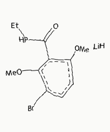 CCPC(=O)c1c(OC)ccc(Br)c1OC.[LiH]